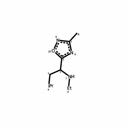 CCNC(CC(C)C)c1nc(C)no1